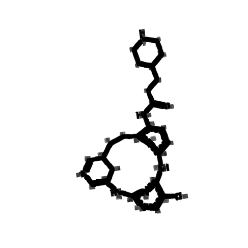 O=C(CCC1CCNCC1)Nc1ccc2cc1CCC1C=NC=C(C1)Nc1ncc(Cl)c(n1)N2